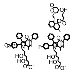 CC(C)c1c(C(=O)Nc2ccccc2)c(-c2ccccc2)c(-c2ccc(F)cc2)n1CC[C@@H](O)C[C@@H](O)CC(=O)[O-].CC(C)c1c(C(=O)Nc2ccccc2)c(-c2ccccc2)c(-c2ccc(F)cc2)n1CC[C@@H](O)C[C@@H](O)CC(=O)[O-].CC[C@H](C)C(=O)O[C@H]1C[C@@H](C)C=C2C=C[C@H](C)[C@H](CC[C@@H]3C[C@@H](O)CC(=O)O3)[C@H]21.[Ca+2]